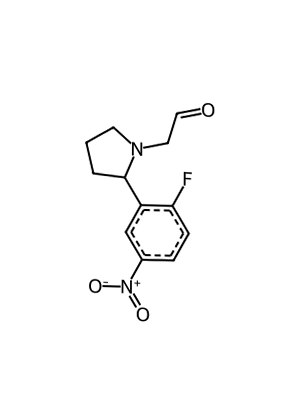 O=CCN1CCCC1c1cc([N+](=O)[O-])ccc1F